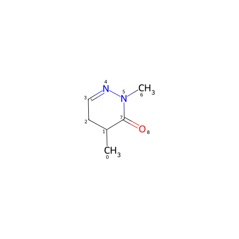 CC1C[C]=NN(C)C1=O